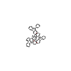 c1ccc(-n2c3ccccc3c3cc(-c4nc(-c5cccc6c7ccccc7n(-c7ccccc7)c56)nc(-c5cccc6c7ccccc7n(-c7ccccc7)c56)n4)ccc32)cc1